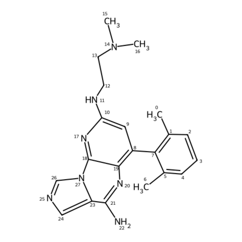 Cc1cccc(C)c1-c1cc(NCCN(C)C)nc2c1nc(N)c1cncn12